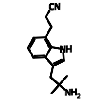 CC(C)(N)Cc1c[nH]c2c(CCC#N)cccc12